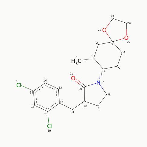 C[C@@H]1CC2(CC[C@@H]1N1CCC(Cc3ccc(Cl)cc3Cl)C1=O)OCCO2